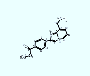 CC(C)(C)OC(=O)c1ccc(-c2cn3cccc(CN)c3n2)cc1